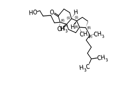 CC(C)CCC[C@@H](C)[C@H]1CC[C@H]2[C@@H]3CCC(=O)[C@](C)(CCCCO)[C@H]3CC[C@]12C